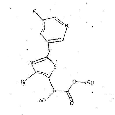 CCCN(C(=O)OC(C)(C)C)c1sc(-c2cncc(F)c2)nc1Br